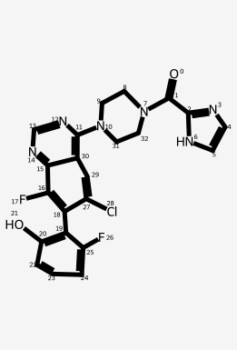 O=C(c1ncc[nH]1)N1CCN(c2ncnc3c(F)c(-c4c(O)cccc4F)c(Cl)cc23)CC1